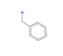 [N]Cc1ccccc1